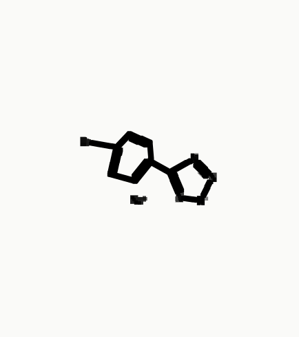 Brc1ccc(-c2nn[n-]n2)cc1.[Na+]